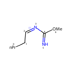 CCCC/C=N\C(=N)OC